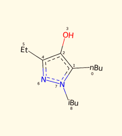 CCCCc1c(O)c(CC)nn1C(C)CC